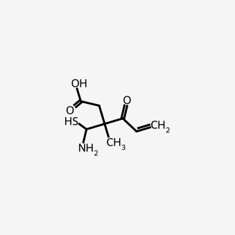 C=CC(=O)C(C)(CC(=O)O)C(N)S